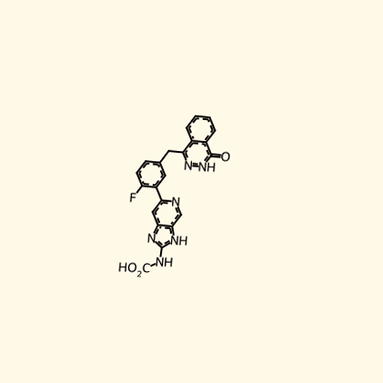 O=C(O)Nc1nc2cc(-c3cc(Cc4n[nH]c(=O)c5ccccc45)ccc3F)ncc2[nH]1